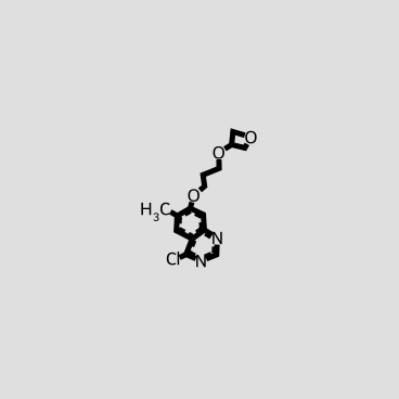 Cc1cc2c(Cl)ncnc2cc1OCCCOC1COC1